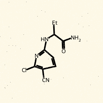 CCC(Nc1ccc(C#N)c(Cl)n1)C(N)=O